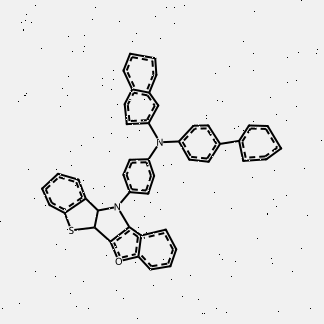 c1ccc(-c2ccc(N(c3ccc(N4c5c(oc6ccccc56)C5Sc6ccccc6C54)cc3)c3ccc4ccccc4c3)cc2)cc1